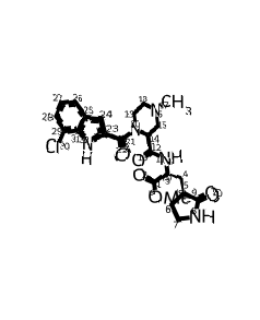 COC(=O)[C@H](C[C@@H]1CCNC1=O)NC(=O)C1CN(C)CCN1C(=O)c1cc2cccc(Cl)c2[nH]1